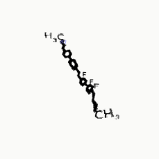 C/C=C/CCC1CCC(c2ccc(CCc3ccc(-c4ccc(CCCCC)c(F)c4F)cc3F)cc2)CC1